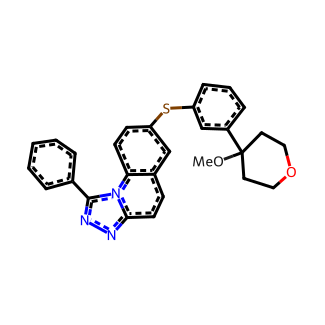 COC1(c2cccc(Sc3ccc4c(ccc5nnc(-c6ccccc6)n54)c3)c2)CCOCC1